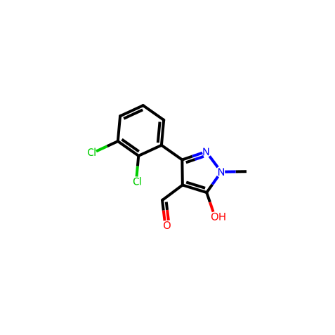 Cn1nc(-c2cccc(Cl)c2Cl)c(C=O)c1O